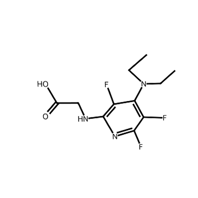 CCN(CC)c1c(F)c(F)nc(NCC(=O)O)c1F